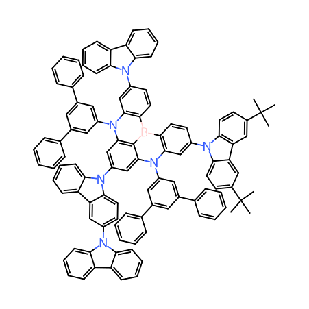 CC(C)(C)c1ccc2c(c1)c1cc(C(C)(C)C)ccc1n2-c1ccc2c(c1)N(c1cc(-c3ccccc3)cc(-c3ccccc3)c1)c1cc(-n3c4ccccc4c4cc(-n5c6ccccc6c6ccccc65)ccc43)cc3c1B2c1ccc(-n2c4ccccc4c4ccccc42)cc1N3c1cc(-c2ccccc2)cc(-c2ccccc2)c1